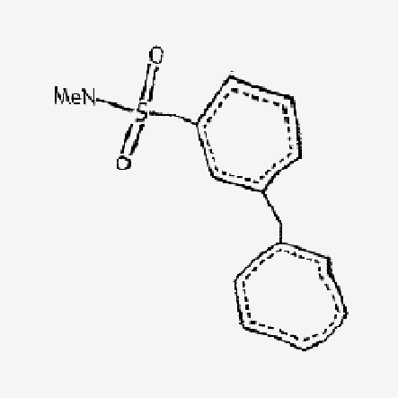 CNS(=O)(=O)c1[c]ccc(-c2ccccc2)c1